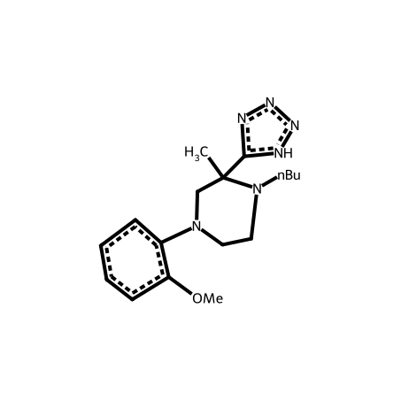 CCCCN1CCN(c2ccccc2OC)CC1(C)c1nnn[nH]1